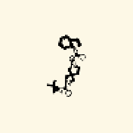 CC1(C)C[C@@H]1C(=O)N1CC2(CCN(OC(=O)n3ccc4ccccc43)C2)C1